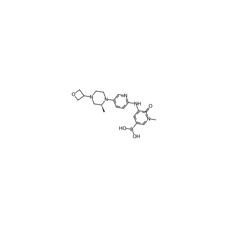 C[C@H]1CN(C2COC2)CCN1c1ccc(Nc2cc(B(O)O)cn(C)c2=O)nc1